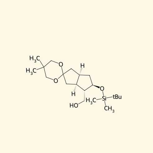 CC1(C)COC2(C[C@H]3C[C@@H](O[Si](C)(C)C(C)(C)C)[C@H](CO)[C@H]3C2)OC1